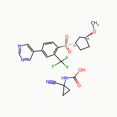 CO[C@H]1CC[C@H](S(=O)(=O)c2ccc(-c3cncnc3)cc2C(F)(F)F)C1.N#CC1(NC(=O)O)CC1